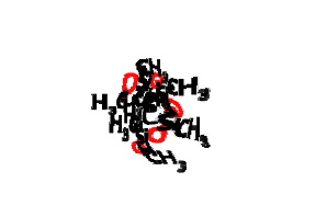 CO[SiH](C)O[Si](C)(C)O[Si](C)(C)O[Si](C)(C)OC